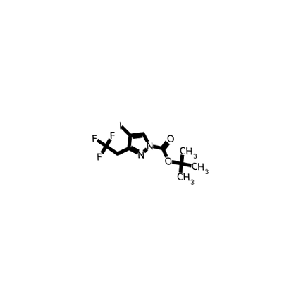 CC(C)(C)OC(=O)n1cc(I)c(CC(F)(F)F)n1